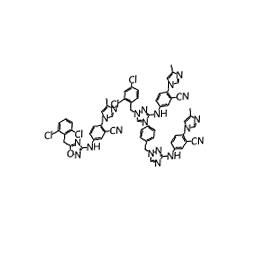 Cc1cn(-c2ccc(Nc3ncn(Cc4ccc(Cl)cc4Cl)n3)cc2C#N)cn1.Cc1cn(-c2ccc(Nc3ncn(Cc4ccccc4)n3)cc2C#N)cn1.Cc1cn(-c2ccc(Nc3noc(Cc4c(Cl)cccc4Cl)n3)cc2C#N)cn1